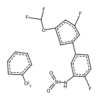 FC(F)(F)c1ccccc1.O=[SH](=O)Nc1cc(-c2cc(F)cc(OC(F)F)c2)ccc1F